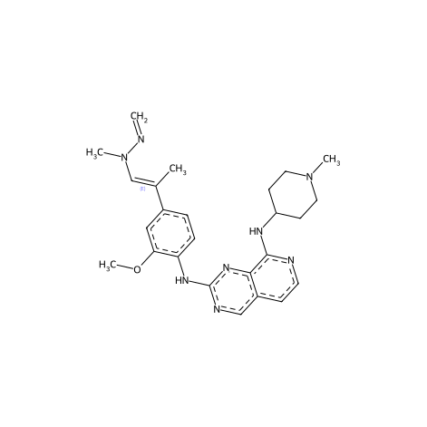 C=NN(C)/C=C(\C)c1ccc(Nc2ncc3ccnc(NC4CCN(C)CC4)c3n2)c(OC)c1